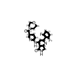 O=C1NCc2nc(-c3c(F)cccc3F)cc(Nc3ccc(C(=O)N4CCOCC4)cn3)c21